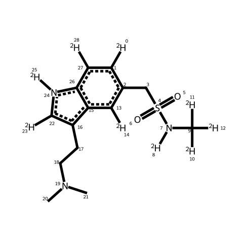 [2H]c1c(CS(=O)(=O)N([2H])C([2H])([2H])[2H])c([2H])c2c(CCN(C)C)c([2H])n([2H])c2c1[2H]